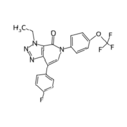 CCn1nnc2c(-c3ccc(F)cc3)cn(-c3ccc(OC(F)(F)F)cc3)c(=O)c21